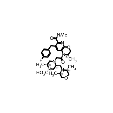 CNC(=O)c1nc2c(cc1Cc1ccc(F)cc1)N(C(=O)CN1C[C@@H](C)N(C(=O)O)C[C@@H]1CN1[C@H](C)COC[C@H]1C)[C@@H](C)CO2